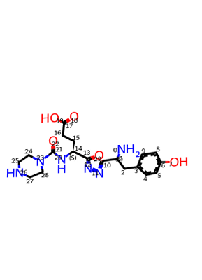 N[C@@H](Cc1ccc(O)cc1)c1nnc([C@H](CCC(=O)O)NC(=O)N2CCNCC2)o1